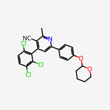 Cc1nc(-c2ccc(OC3CCCCO3)cc2)cc(-c2c(Cl)ccc(Cl)c2Cl)c1C#N